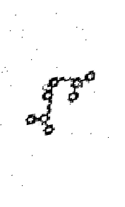 c1ccc(-c2cc(CCCc3ccc4oc5ccc(CCCc6cc(-c7ccccc7)nc(-c7ccccc7)c6)cc5c4c3)cc(-c3ccccc3)n2)cc1